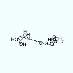 CS(=O)(=O)Nc1cccc(COCCOCCCCCCNC[C@H](O)c2ccc(O)c(CO)c2)c1